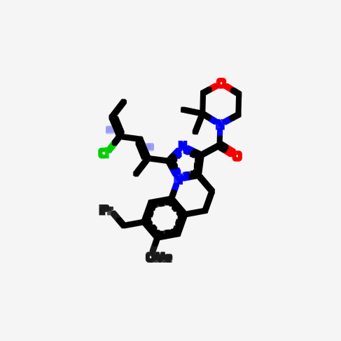 C/C=C(Cl)\C=C(/C)c1nc(C(=O)N2CCOCC2(C)C)c2n1-c1cc(CC(C)C)c(OC)cc1CC2